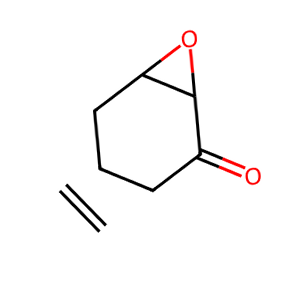 C=C.O=C1CCCC2OC12